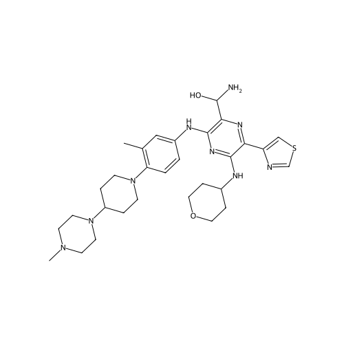 Cc1cc(Nc2nc(NC3CCOCC3)c(-c3cscn3)nc2C(N)O)ccc1N1CCC(N2CCN(C)CC2)CC1